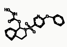 O=C(NO)OC1c2ccccc2CCN1S(=O)(=O)c1ccc(Oc2ccccc2)nc1